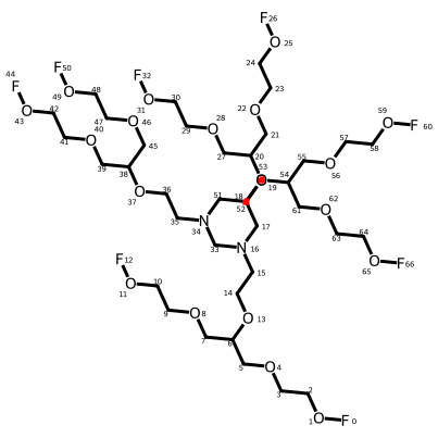 FOCCOCC(COCCOF)OCCN(CCOC(COCCOF)COCCOF)CN(CCOC(COCCOF)COCCOF)CCOC(COCCOF)COCCOF